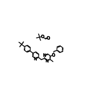 CC(C)(C)OC=O.Cc1nc(Cc2ccc(-c3ccc(C(C)(C)C)cc3)cn2)ncc1OCc1ccccc1